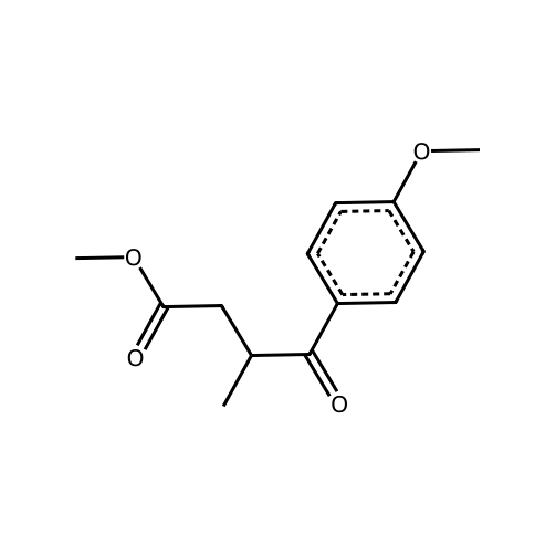 COC(=O)CC(C)C(=O)c1ccc(OC)cc1